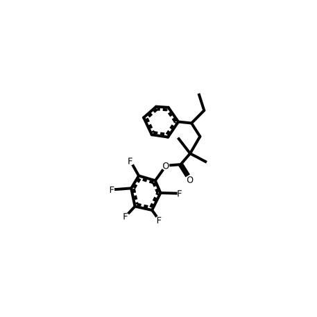 CCC(CC(C)(C)C(=O)Oc1c(F)c(F)c(F)c(F)c1F)c1ccccc1